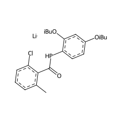 Cc1cccc(Cl)c1C(=O)Pc1ccc(OCC(C)C)cc1OCC(C)C.[Li]